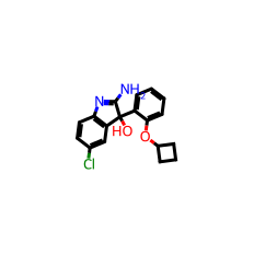 NC1=Nc2ccc(Cl)cc2C1(O)c1ccccc1OC1CCC1